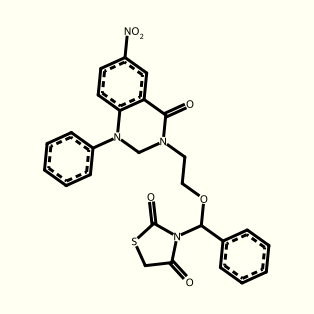 O=C1c2cc([N+](=O)[O-])ccc2N(c2ccccc2)CN1CCOC(c1ccccc1)N1C(=O)CSC1=O